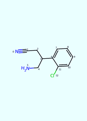 N#CCC(CN)c1ccccc1Cl